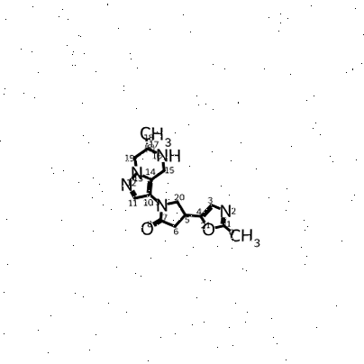 Cc1ncc(C2CC(=O)N(c3cnn4c3CN[C@@H](C)C4)C2)o1